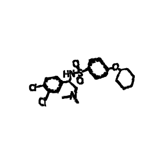 CN(C)C[C@H](NS(=O)(=O)c1ccc(OC2CCCCC2)cc1)c1ccc(Cl)c(Cl)c1